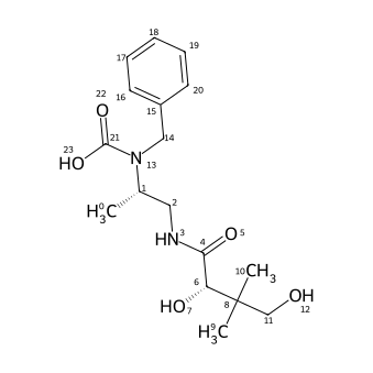 C[C@@H](CNC(=O)[C@@H](O)C(C)(C)CO)N(Cc1ccccc1)C(=O)O